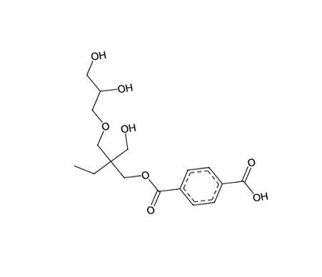 CCC(CO)(COCC(O)CO)COC(=O)c1ccc(C(=O)O)cc1